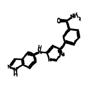 NC(=O)c1cccc(-c2cc(Nc3ccc4[nH]ncc4c3)ncn2)c1